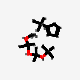 C[Si](C)(C)O[Si](C)(C)O[Si](C)(C)O[SiH3].[CH3][Pt]([CH3])([CH3])[C]1=CC=CC1